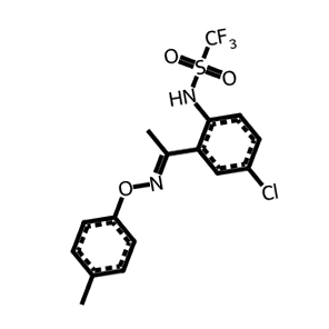 C/C(=N\Oc1ccc(C)cc1)c1cc(Cl)ccc1NS(=O)(=O)C(F)(F)F